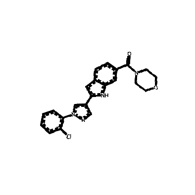 O=C(c1ccc2cc(-c3cnn(-c4ccccc4Cl)c3)[nH]c2c1)N1CCOCC1